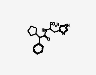 O=C(O)C(Cc1c[nH]cn1)NC(=O)C(c1ccccc1)C1CCCC1